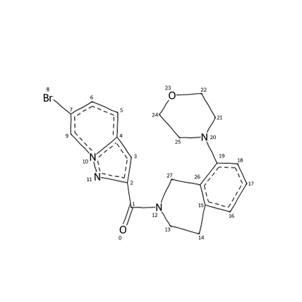 O=C(c1cc2ccc(Br)cn2n1)N1CCc2cccc(N3CCOCC3)c2C1